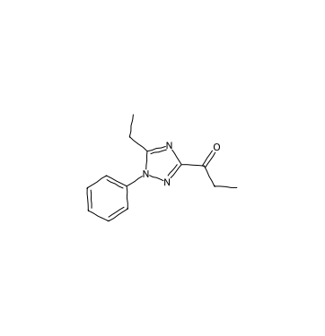 CCC(=O)c1nc(CC)n(-c2ccccc2)n1